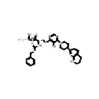 CCc1c(NC[C@H](NC(=O)OCc2ccccc2)C(=O)N[C@@H](C)C(=O)O)ncnc1N1CCC(c2ccc3c(n2)NCCC3)CC1